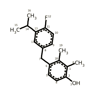 Cc1c(O)ccc(Cc2ccc(F)c(C(C)C)c2)c1C